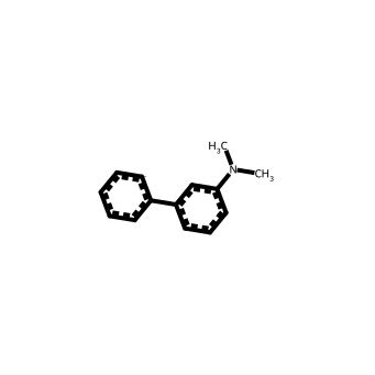 CN(C)c1cccc(-c2[c]cccc2)c1